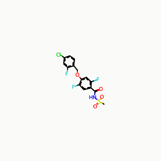 CS(=O)(=O)NC(=O)c1cc(F)c(OCc2ccc(Cl)cc2F)cc1F